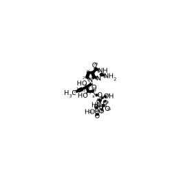 CC#CC1(O)[C@@H](O)[C@@H](COP(=O)(O)OP(=O)(O)OP(=O)(O)O)O[C@H]1n1ccc2c(=O)[nH]c(N)nc21